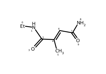 CCNC(=O)C(C)=CC(N)=O